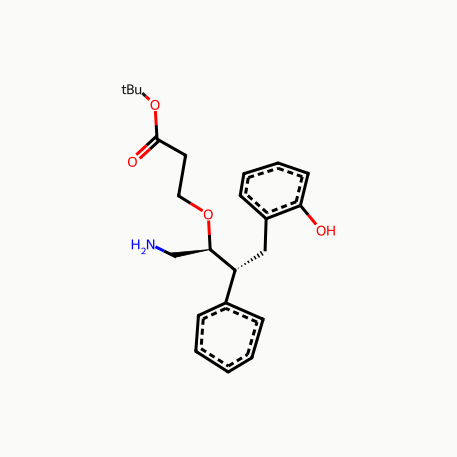 CC(C)(C)OC(=O)CCO[C@H](CN)[C@H](Cc1ccccc1O)c1ccccc1